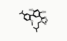 COc1ccc(C(C)C)cc1-c1cc(-c2nnnn2CCC(C)C)c(O)cc1O